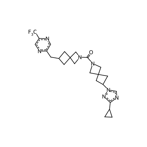 O=C(N1CC2(CC(Cc3cnc(C(F)(F)F)cn3)C2)C1)N1CC2(CC(n3cnc(C4CC4)n3)C2)C1